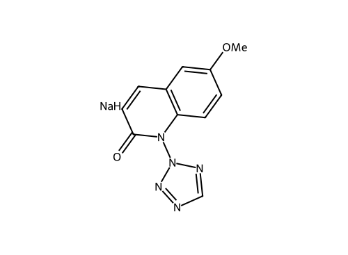 COc1ccc2c(ccc(=O)n2-n2ncnn2)c1.[NaH]